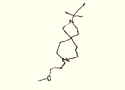 COCCN1CCC2(CC1)CN(C(C)(C)C)C2